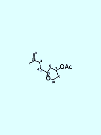 C=C(C)CSC1CC(OC(C)=O)CCO1